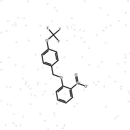 O=[N+]([O-])c1ccccc1OCc1ccc(OC(F)(F)F)cc1